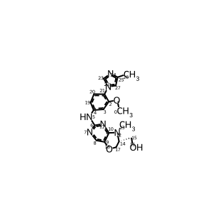 COc1cc(Nc2ncc3c(n2)N(C)[C@H](CO)CO3)ccc1-n1cnc(C)c1